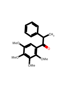 COc1cc(C(=O)C(C)c2ccccc2)c(OC)c(OC)c1OC